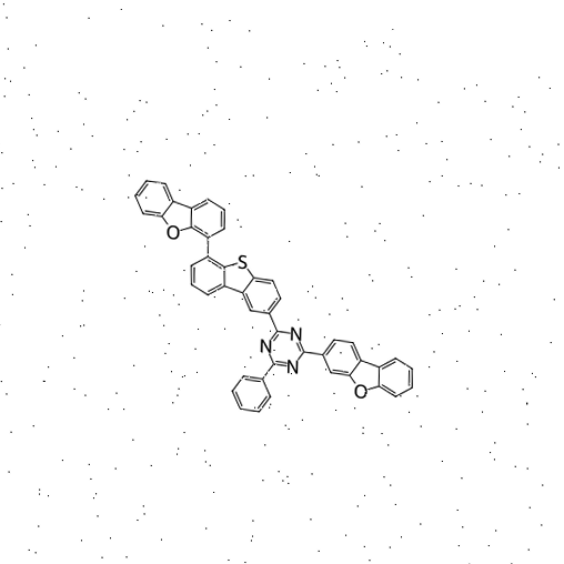 c1ccc(-c2nc(-c3ccc4c(c3)oc3ccccc34)nc(-c3ccc4sc5c(-c6cccc7c6oc6ccccc67)cccc5c4c3)n2)cc1